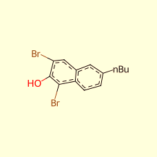 CCCCc1ccc2c(Br)c(O)c(Br)cc2c1